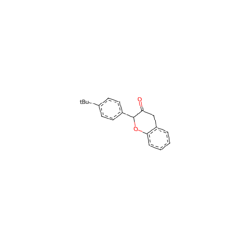 CC(C)(C)c1ccc(C2Oc3ccccc3CC2=O)cc1